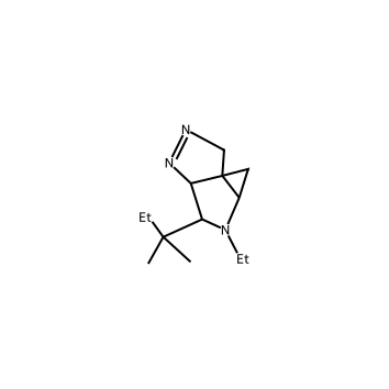 CCN1C(C(C)(C)CC)C2N=NCC23CC13